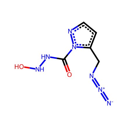 [N-]=[N+]=NCc1ccnn1C(=O)NNO